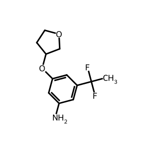 CC(F)(F)c1cc(N)cc(OC2CCOC2)c1